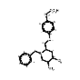 NC1CN(Cc2ccccc2)C(COc2ccc(NC(=O)O)cc2)CC1Cl